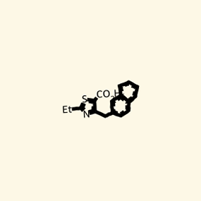 CCc1nc(Cc2ccc3ccccc3c2)c(C(=O)O)s1